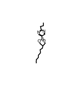 CCCCCCCC1COB(c2cnc(CCC)nc2)OC1